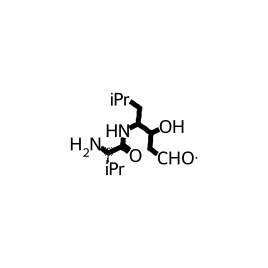 CC(C)CC(NC(=O)[C@@H](N)C(C)C)C(O)C[C]=O